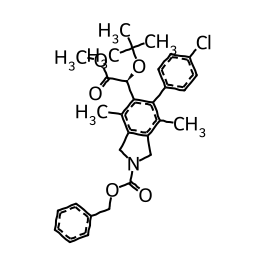 COC(=O)[C@@H](OC(C)(C)C)c1c(C)c2c(c(C)c1-c1ccc(Cl)cc1)CN(C(=O)OCc1ccccc1)C2